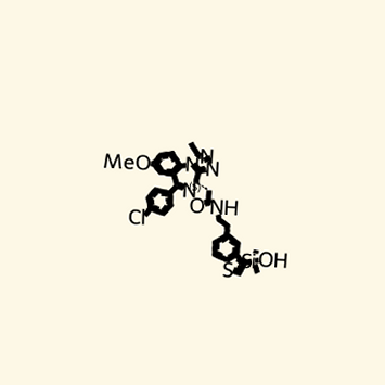 COc1ccc2c(c1)C(c1ccc(Cl)cc1)=N[C@@H](CC(=O)NCCc1ccc3scc([Si](C)(C)O)c3c1)c1nnc(C)n1-2